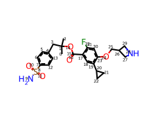 CC(C)(Cc1ccc(S(N)(=O)=O)cc1)OC(=O)c1cc(C2CC2)c(OCC2CNC2)cc1F